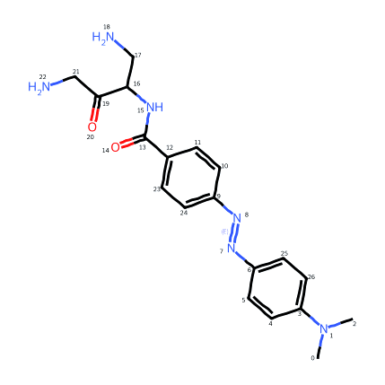 CN(C)c1ccc(/N=N/c2ccc(C(=O)NC(CN)C(=O)CN)cc2)cc1